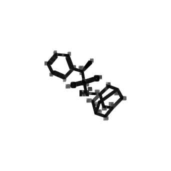 C[C@H](c1ccccc1)S(=O)(=O)NC12CC3CC(CC(C3)C1)C2